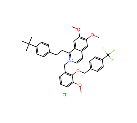 COc1cc2cc[n+](Cc3cccc(OC)c3OCc3ccc(C(F)(F)F)cc3)c(CCc3ccc(C(C)(C)C)cc3)c2cc1OC.[Cl-]